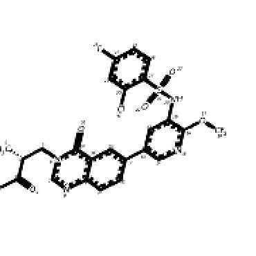 CNC(=O)[C@H](C)Cn1cnc2ccc(-c3cnc(OC(F)(F)F)c(NS(=O)(=O)c4ccc(F)cc4Cl)c3)cc2c1=O